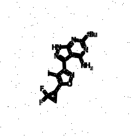 CC(C)(C)c1nc(N)c2c(-c3noc(C4CC4(F)F)c3I)n[nH]c2n1